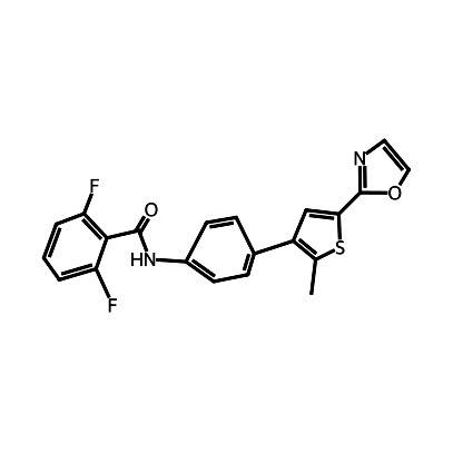 Cc1sc(-c2ncco2)cc1-c1ccc(NC(=O)c2c(F)cccc2F)cc1